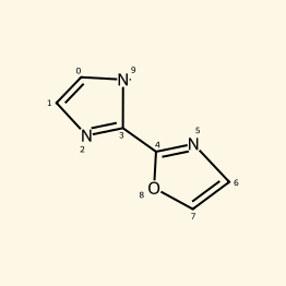 C1=CN=C(c2ncco2)[N]1